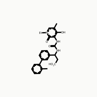 CCn1cc(C)c(O)c(NC(=O)NC(CC(=O)O)c2cccc(-c3ccccc3C)c2)c1=O